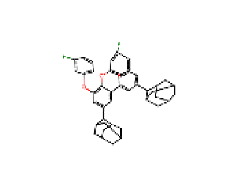 Fc1cccc(Oc2cc(C3C4CC5CC(C4)CC3C5)cc(-c3cccc(C4C5CC6CC(C5)CC4C6)c3)c2Oc2cccc(F)c2)c1